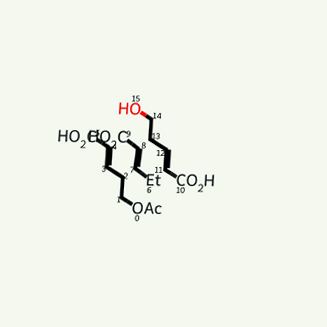 CC(=O)OCCC=CC(=O)O.CCC=CC(=O)O.O=C(O)C=CCCO